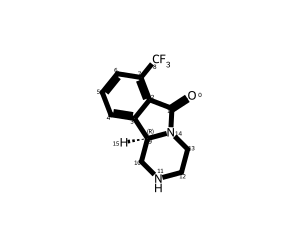 O=C1c2c(cccc2C(F)(F)F)[C@@H]2CNCCN12